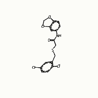 O=C(CSCc1cc(Cl)ccc1Cl)Nc1ccc2c(c1)OCO2